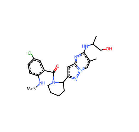 CSNc1ccc(Cl)cc1C(=O)N1CCCCC1c1cc2nc(NC(C)CO)c(C)cn2n1